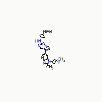 CN[C@H]1C[C@@H](Nc2ncc3c(-c4cnc5nc(C)n(C6CC(C)(F)C6)c5c4)ccn3n2)C1